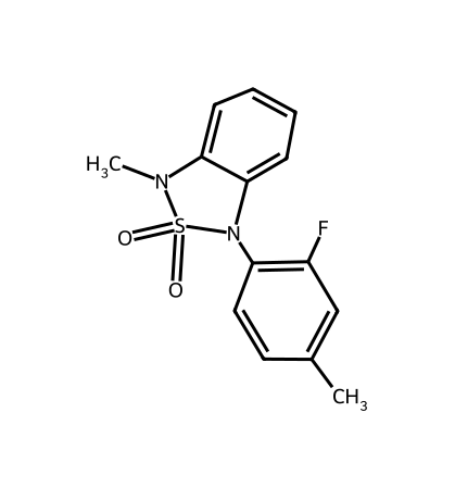 Cc1ccc(N2c3ccccc3N(C)S2(=O)=O)c(F)c1